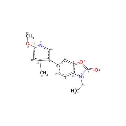 CCn1c(=O)oc2cc(-c3cnc(OC)cc3C)ccc21